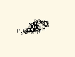 COc1ccc2c(C(=O)c3ccc(OCCC4CCCCCN4)cc3)c(OS(=O)(=O)C(F)(F)F)ccc2c1